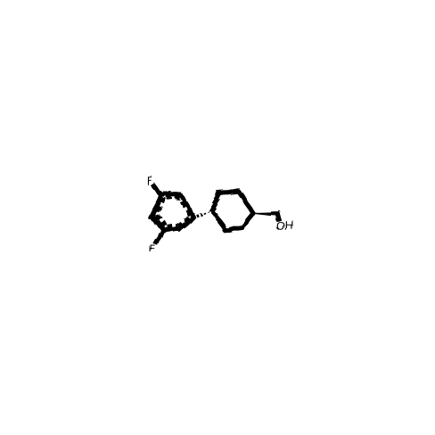 OC[C@H]1CC[C@H](c2cc(F)cc(F)c2)CC1